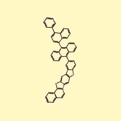 c1ccc(-c2ccc(-c3c4ccccc4c(-c4ccc5sc6cc7c(cc6c5c4)sc4c5ccccc5ccc74)c4ccccc34)c3ccccc23)cc1